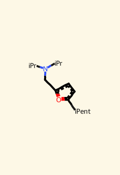 CCCC(C)c1ccc(CN(C(C)C)C(C)C)o1